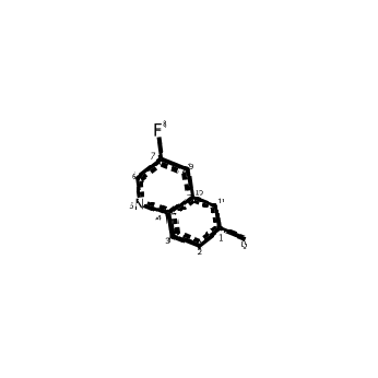 Cc1ccc2ncc(F)cc2c1